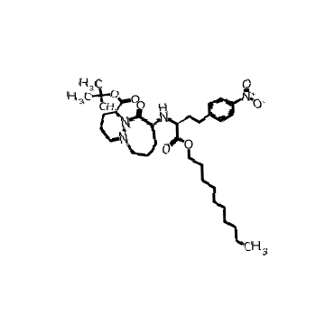 CCCCCCCCCCOC(=O)[C@H](CCc1ccc([N+](=O)[O-])cc1)N[C@H]1CCCN2CCC[C@@H](C(=O)OC(C)(C)C)N2C1=O